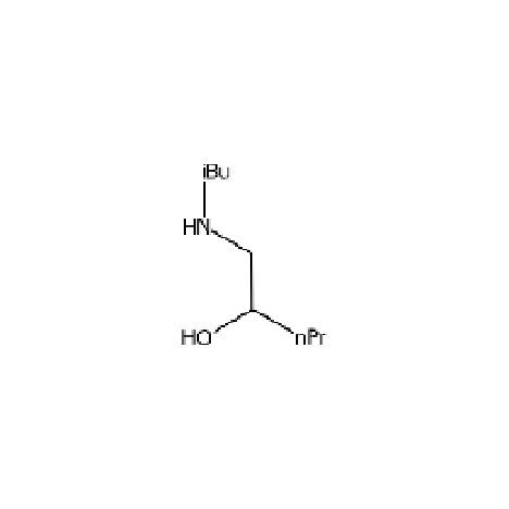 CCCC(O)CNC(C)CC